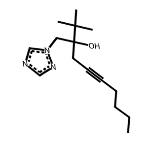 CCCCC#CCC(O)(Cn1cncn1)C(C)(C)C